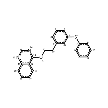 c1ccc(Sc2cccc(CCOc3ncnc4ccccc34)c2)cc1